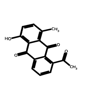 CC(=O)c1cccc2c1C(=O)c1c(C)ccc(O)c1C2=O